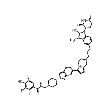 CN1c2cc(CCCN3CCn4c(-c5ccc6cn([C@H]7CC[C@H](CNC(=O)c8cc(F)c(O)c(F)c8F)CC7)nc6c5)cnc4C3)ccc2N(C2CCC(=O)NC2=O)C1O